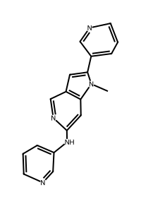 Cn1c(-c2cccnc2)cc2cnc(Nc3cccnc3)cc21